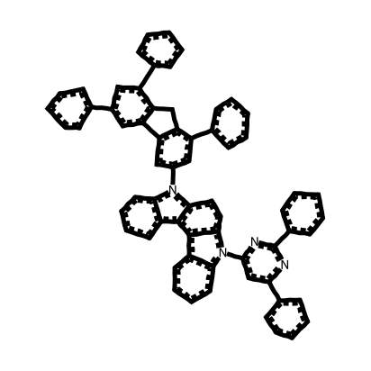 c1ccc(-c2cc(-c3ccccc3)c3c(c2)-c2cc(-n4c5ccccc5c5c6c7ccccc7n(-c7cc(-c8ccccc8)nc(-c8ccccc8)n7)c6ccc54)cc(-c4ccccc4)c2C3)cc1